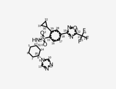 O=S(=O)(N[C@H]1CCC[C@@H](n2cnnc2)C1)c1ccc(-c2noc(C(F)(F)F)n2)cc1C1CC1